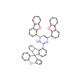 C1=CC2c3c(C4=NC(c5cccc6c5oc5ccccc56)=CC(c5cccc6c5oc5ccccc56)N4)cccc3C3(c4ccccc4Oc4ccccc43)C2C=C1